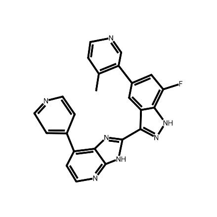 Cc1ccncc1-c1cc(F)c2[nH]nc(-c3nc4c(-c5ccncc5)ccnc4[nH]3)c2c1